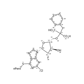 CCCCCSc1nc(Cl)nc2c1ncn2[C@@H]1O[C@H](COC(Cc2ccccc2)(C(=O)O)C(=O)O)[C@@H](O)[C@@H]1F